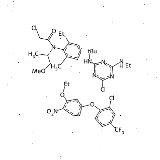 CCNc1nc(Cl)nc(NC(C)(C)C)n1.CCOc1cc(Oc2ccc(C(F)(F)F)cc2Cl)ccc1[N+](=O)[O-].CCc1cccc(C)c1N(C(=O)CCl)C(C)COC